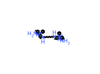 CC1=CC2=Nc3c(ccc(C)c3N)N(c3ccccc3)C2C=C1NCCCCCCCCNc1cc2c(cc1C)nc1c(N)c(C)ccc1[n+]2-c1ccccc1